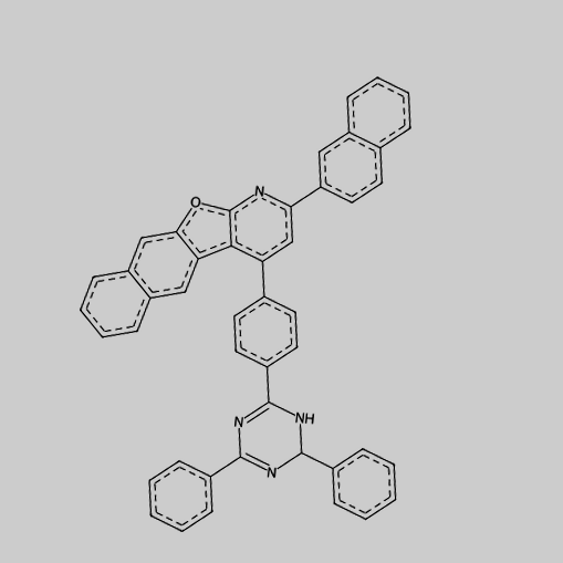 c1ccc(C2=NC(c3ccccc3)NC(c3ccc(-c4cc(-c5ccc6ccccc6c5)nc5oc6cc7ccccc7cc6c45)cc3)=N2)cc1